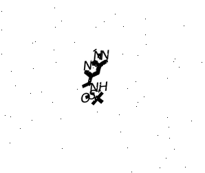 CC(N[S+]([O-])C(C)(C)C)c1cnc2c(cnn2C)c1